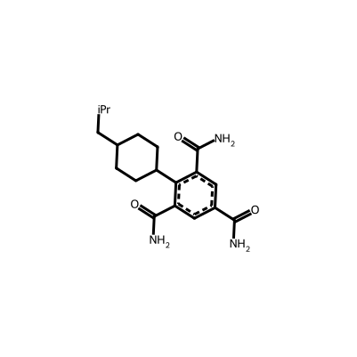 CC(C)CC1CCC(c2c(C(N)=O)cc(C(N)=O)cc2C(N)=O)CC1